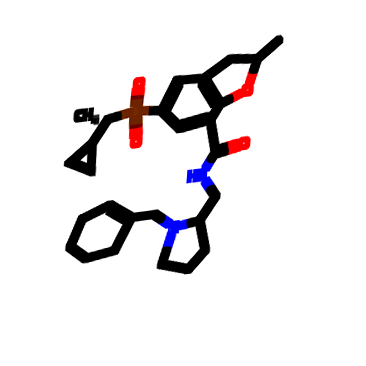 C.CC1Cc2cc(S(=O)(=O)CC3CC3)cc(C(=O)NCC3CCCN3CC3=CCCCC3)c2O1